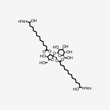 CCCCCCC(O)CCCCCCCCCCC(=O)OC[C@@]1(O[C@H]2O[C@H](CO)[C@@H](O)[C@H](O)[C@H]2O)O[C@H](CO)[C@@H](O)[C@@H]1OC(=O)CCCCCCCCCCC(O)CCCCCC